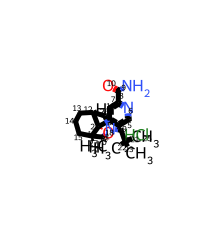 CO[C@@]1(c2ccnc(C(N)=O)c2)[C@@H]2CCC[C@H]1CN(CC(C)(C)C)C2.Cl